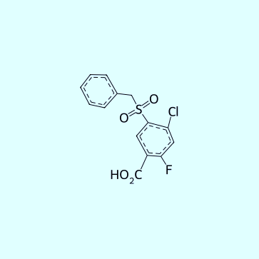 O=C(O)c1cc(S(=O)(=O)Cc2ccccc2)c(Cl)cc1F